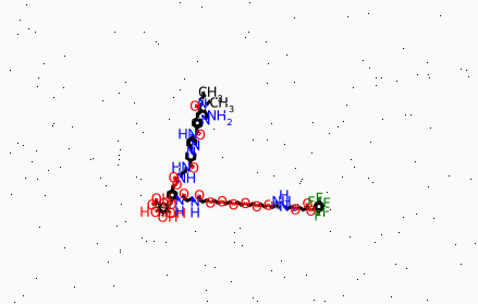 CCCN(CCC)C(=O)C1=Cc2ccc(C(=O)Nc3ccc(N4CCC(C(=O)NCCNC(=O)OCc5ccc(O[C@@H]6O[C@H](C(=O)O)C(O)[C@H](O)C6O)c(NC(=O)CCNC(=O)CCOCCOCCOCCOCCOCCOC/C(N)=C/NCCOCCC(=O)Oc6c(F)c(F)c(F)c(F)c6F)c5)CC4)nc3)cc2N=C(N)C1